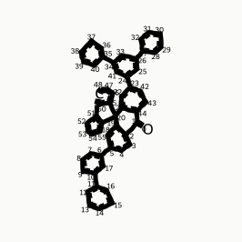 O=C1c2ccc(-c3cccc(-c4ccccc4)c3)cc2C2(c3cc(-c4cc(-c5ccccc5)cc(-c5ccccc5)c4)ccc31)c1ccccc1-c1ccccc12